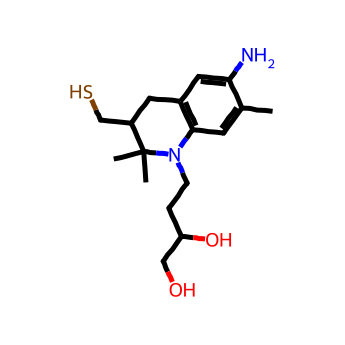 Cc1cc2c(cc1N)CC(CS)C(C)(C)N2CCC(O)CO